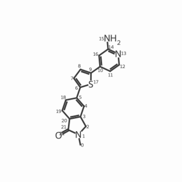 CN1Cc2cc(-c3ccc(-c4ccnc(N)c4)s3)ccc2C1=O